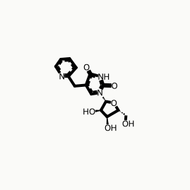 O=c1[nH]c(=O)n([C@@H]2O[C@H](CO)[C@@H](O)[C@H]2O)cc1Cc1ccccn1